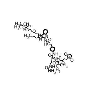 CCCCc1nc2c(NC(=O)OCc3ccc(NC(=O)[C@@H](CCCNC(N)=O)NC(=O)[C@H](NC(=O)CCN4C(=O)C=CC4=O)C(C)C)cc3)nc3ccccc3c2n1CCOCCNC(=O)OC(C)(C)C